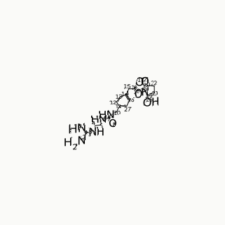 N=C(N)NCCNC(=O)NCc1ccc(CC(=O)ON2C(=O)CCC2O)cc1